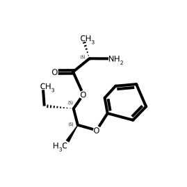 CC[C@H](OC(=O)[C@H](C)N)[C@H](C)Oc1ccccc1